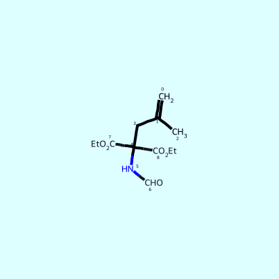 C=C(C)CC(NC=O)(C(=O)OCC)C(=O)OCC